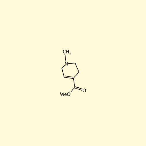 COC(=O)C1=CCN(C)CC1